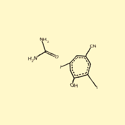 N#Cc1cc(I)c(O)c(I)c1.NC(N)=O